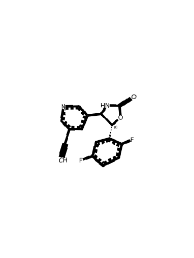 C#Cc1cncc(C2NC(=O)O[C@@H]2c2cc(F)ccc2F)c1